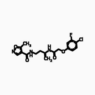 C=C(CCNC(=O)c1cnoc1C)NC(=O)COc1ccc(Cl)c(F)c1